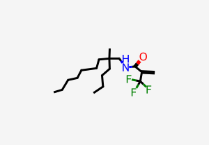 C=C(C(=O)NCC(C)(CCCC)CCCCCCC)C(F)(F)F